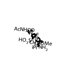 COCC1(OC(=O)C(N)C(C)C)CCN(c2c(F)cc(N3C[C@H](CNC(C)=O)OC3=O)cc2F)CC1.CS(=O)(=O)O